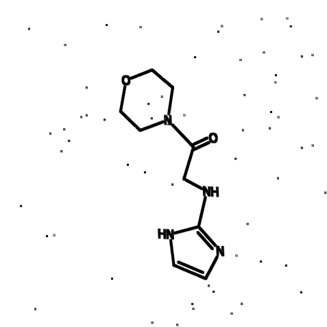 O=C(CNc1ncc[nH]1)N1CCOCC1